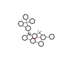 CC1(C)c2cc(-c3ccccc3)ccc2-c2ccc(N(c3ccc4c(c3)-c3ccccc3C4(c3ccccc3)c3ccccc3)c3ccccc3-c3ccc(-c4ccccc4)cc3)cc21